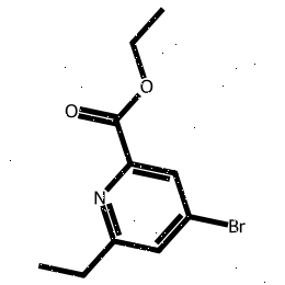 CCOC(=O)c1cc(Br)cc(CC)n1